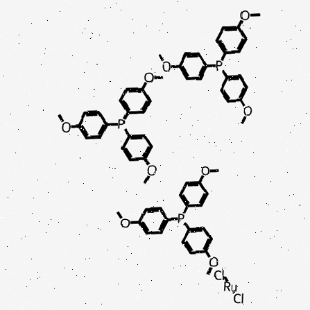 COc1ccc(P(c2ccc(OC)cc2)c2ccc(OC)cc2)cc1.COc1ccc(P(c2ccc(OC)cc2)c2ccc(OC)cc2)cc1.COc1ccc(P(c2ccc(OC)cc2)c2ccc(OC)cc2)cc1.[Cl][Ru][Cl]